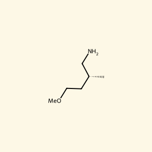 COCC[C@@H](C)CN